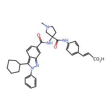 CN1CC[C@](NC(=O)c2ccc3c(C4CCCCC4)n(-c4ccccc4)nc3c2)(C(=O)Nc2ccc(/C=C/C(=O)O)cc2)C1